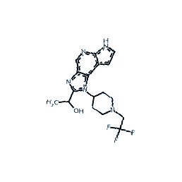 CC(O)c1nc2cnc3[nH]ccc3c2n1C1CCN(CC(F)(F)F)CC1